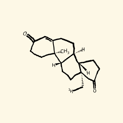 [2H]C[C@]12CC[C@H]3[C@@H](CCC4=CC(=O)CC[C@@]43C)[C@@H]1CCC2=O